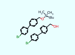 CC(C)(C)[Si](C)(C)OCc1ccc(-c2ccc(Br)cc2)cc1.OCc1ccc(-c2ccc(Br)cc2)cc1